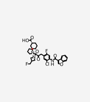 O=C(Nc1cc(F)c(CC(=O)C(O[C@H]2CC[C@H](C(=O)O)CC2)(N2CCCC2)N2CC(CF)C2)cc1Cl)c1coc2ccccc12